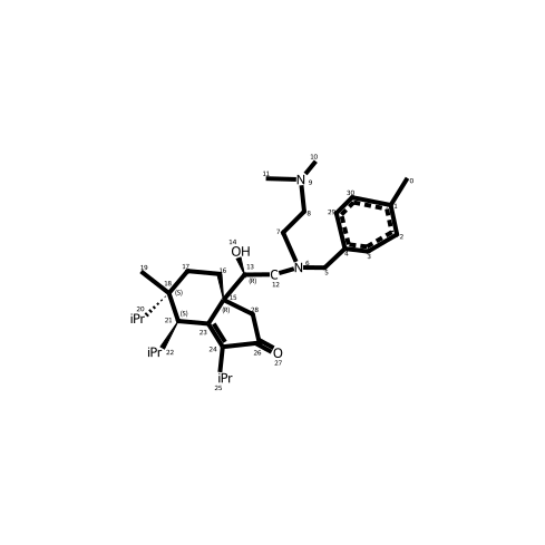 Cc1ccc(CN(CCN(C)C)C[C@H](O)[C@@]23CC[C@@](C)(C(C)C)[C@H](C(C)C)C2=C(C(C)C)C(=O)C3)cc1